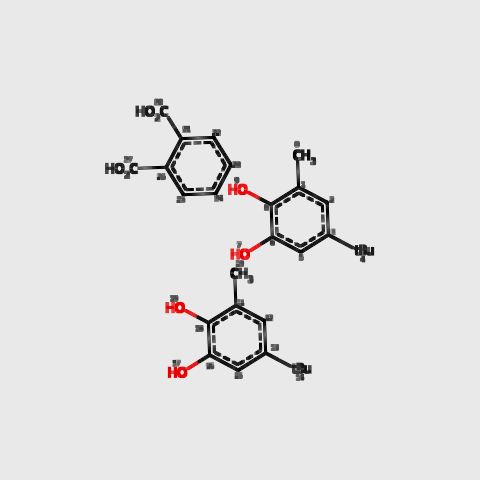 Cc1cc(C(C)(C)C)cc(O)c1O.Cc1cc(C(C)(C)C)cc(O)c1O.O=C(O)c1ccccc1C(=O)O